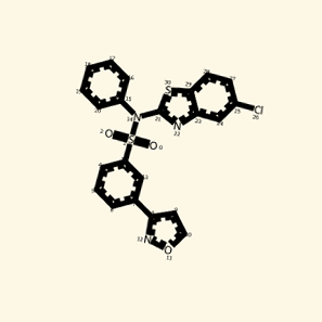 O=S(=O)(c1cccc(-c2ccon2)c1)N(c1ccccc1)c1nc2cc(Cl)ccc2s1